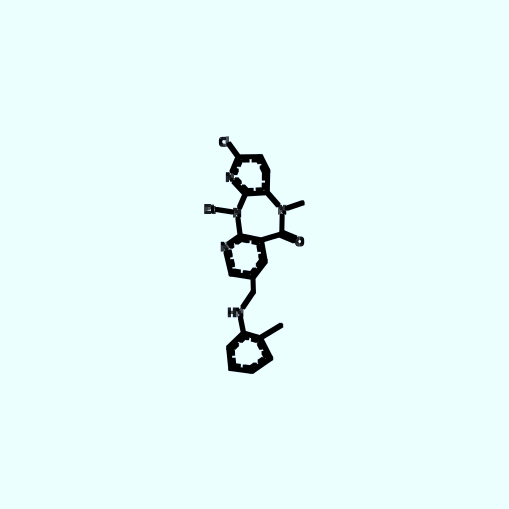 CCN1c2ncc(CNc3ccccc3C)cc2C(=O)N(C)c2ccc(Cl)nc21